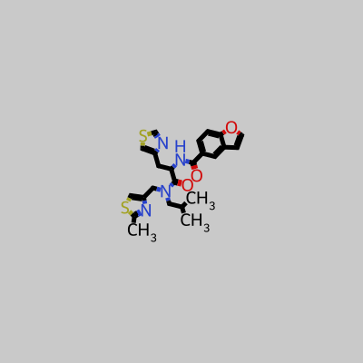 Cc1nc(CN(CC(C)C)C(=O)C(Cc2cscn2)NC(=O)c2ccc3occc3c2)cs1